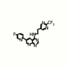 Fc1ccc(-c2cnc3ncnc(NCCc4cnc(C(F)(F)F)nc4)c3c2)nc1